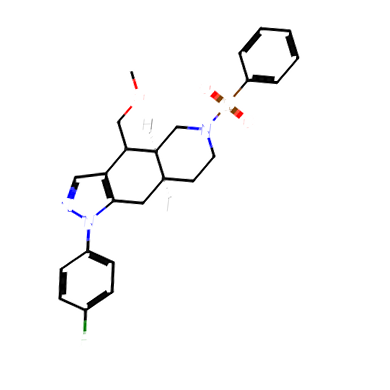 COCC1c2cnn(-c3ccc(F)cc3)c2C[C@@H]2CCN(S(=O)(=O)c3ccccc3)C[C@H]12